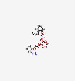 Nc1ccccc1OCCO[C@H]1OCCO[C@H]1OCCOc1ccccc1[N+](=O)[O-]